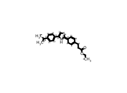 CCOC(=O)CCC1=CCC(=C2NC(c3ccc(C(C)C)cc3)=CS2)C=C1